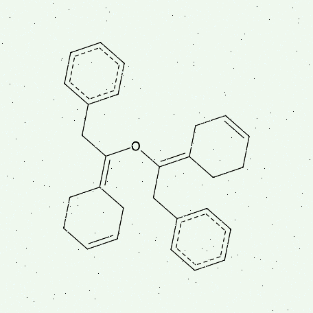 C1=CCC(=C(Cc2ccccc2)OC(Cc2ccccc2)=C2CC=CCC2)CC1